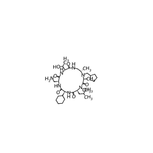 CC(C)C[C@H]1C(=O)N[C@@H](C2CCCCC2)C(=O)N[C@@H](CN)C(=O)N[C@@H]([C@H](C)O)C(=O)NC[C@H](C)N(CC2CCCC2)[C@@H](C)C(=O)N1C